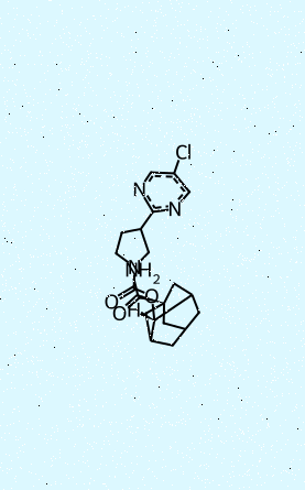 NC(=O)[C@]12CC3CC(C1)[C@@H](OC(=O)N1CCC(c4ncc(Cl)cn4)C1)C(C3)C2